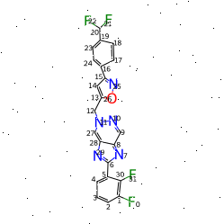 Fc1cccc(-c2nc3cnn(Cc4cc(-c5ccc(C(F)F)cc5)no4)cc-3n2)c1F